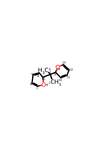 CC(C)(C1C=CC=CO1)C1C=CC=CO1